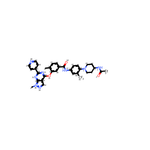 CCC(=O)NC1CCN(c2ccc(NC(=O)c3ccc(C)c(Oc4nc(-c5ccncc5)nc5c4cnn5C)c3)cc2C(F)(F)F)CC1